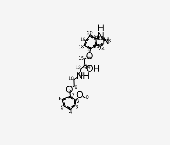 COc1ccccc1OCCNCC(O)COc1cccc2[nH]ncc12